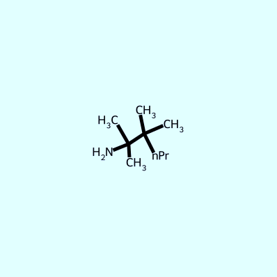 CCCC(C)(C)C(C)(C)N